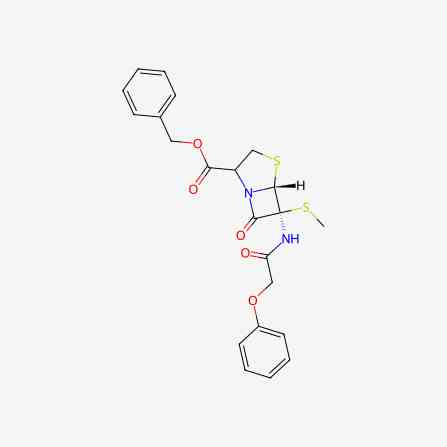 CS[C@@]1(NC(=O)COc2ccccc2)C(=O)N2C(C(=O)OCc3ccccc3)CS[C@@H]21